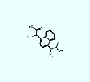 CC(C(=O)O)c1ccc(C(C)C(=O)O)c2ccccc12